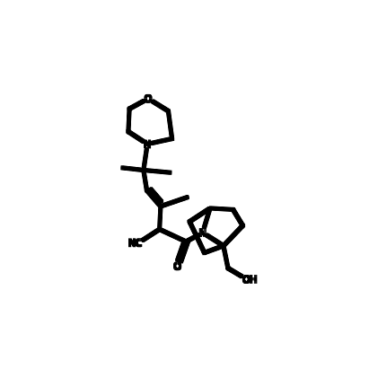 C/C(=C\C(C)(C)N1CCOCC1)C(C#N)C(=O)N1C2CCC1(CO)CC2